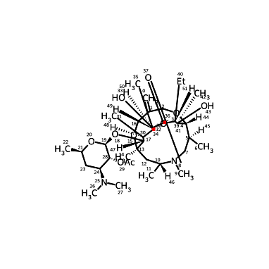 C=C1CO[C@@H]2[C@@H](C)CN(C)[C@H](C)C[C@@](C)(OC1)[C@H](O[C@@H]1O[C@H](C)C[C@H](N(C)C)[C@H]1OC(C)=O)[C@@H](C)[C@H](O)[C@@H](C)C(=O)O[C@H](CC)[C@@]2(C)O